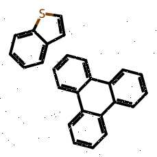 c1ccc2c(c1)c1ccccc1c1ccccc21.c1ccc2sccc2c1